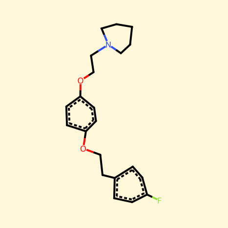 Fc1ccc(CCOc2ccc(OCCN3CCCCC3)cc2)cc1